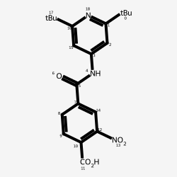 CC(C)(C)c1cc(NC(=O)c2ccc(C(=O)O)c([N+](=O)[O-])c2)cc(C(C)(C)C)n1